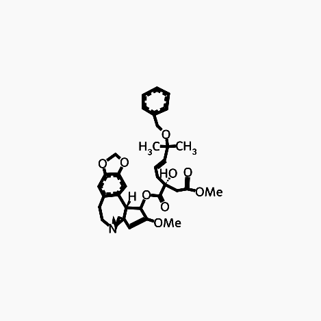 COC(=O)C[C@](O)(C/C=C/C(C)(C)OCc1ccccc1)C(=O)OC1C(OC)=C[C@]23CCCN2CCc2cc4c(cc2[C@H]13)OCO4